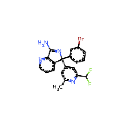 Cc1cc(C2(c3cccc(Br)c3)N=C(N)c3ncccc32)cc(C(F)F)n1